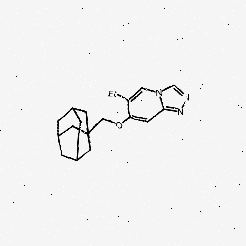 CCc1cn2cnnc2cc1OCC12CC3CC(CC(C3)C1)C2